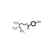 CC[C@H](C)[C@@H](C)CCOC(=O)c1ccc(O)cc1